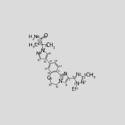 CCn1nc(C)nc1-c1cn2c(n1)-c1ccc(-c3cnn(C(C)(C)C(N)=O)c3)cc1OCC2